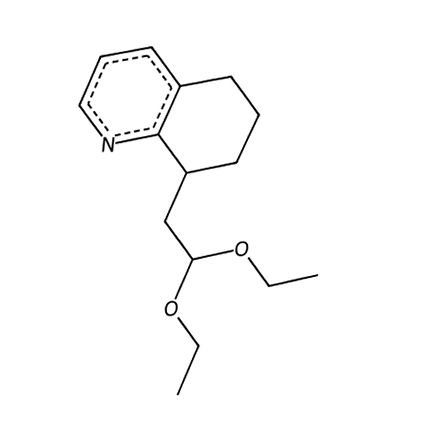 CCOC(CC1CCCc2cccnc21)OCC